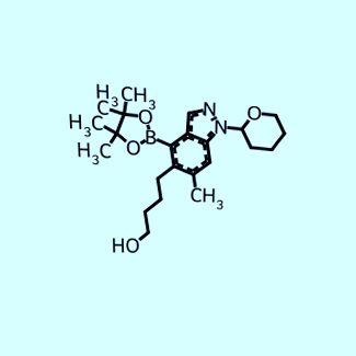 Cc1cc2c(cnn2C2CCCCO2)c(B2OC(C)(C)C(C)(C)O2)c1CCCCO